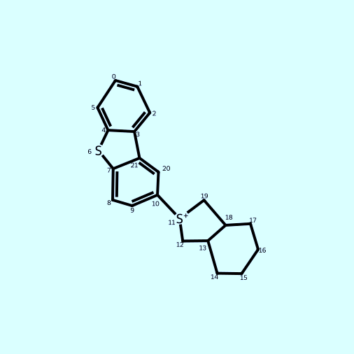 c1ccc2c(c1)sc1ccc([S+]3CC4CCCCC4C3)cc12